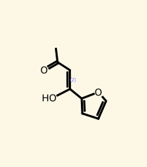 CC(=O)/C=C(\O)c1ccco1